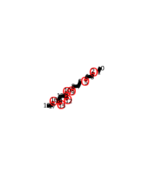 CCOCCOCCCOOC(=O)CC(=O)OCC